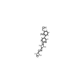 OCc1cccc(-c2cnc(N3CC(=NOC4COC4)C3)nc2)c1F